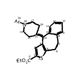 CCOC(=O)c1cc2c(s1)CCc1ccccc1C2=C1CCN(C(C)=O)CC1